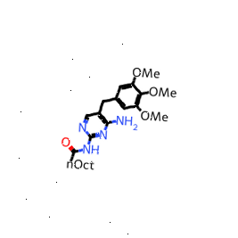 CCCCCCCCC(=O)Nc1ncc(Cc2cc(OC)c(OC)c(OC)c2)c(N)n1